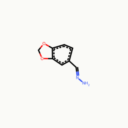 NN=Cc1ccc2c(c1)OCO2